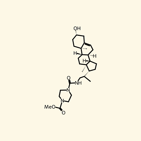 COC(=O)N1CCN(C(=O)NCC(C)[C@H]2CC[C@H]3[C@@H]4CC=C5C[C@@H](O)CC[C@]5(C)[C@H]4CC[C@]23C)CC1